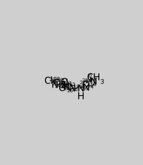 Cc1nccc2nc(NCCN3CCN(S(=O)(=O)c4ccc(Cl)nc4)CC3)ccc12